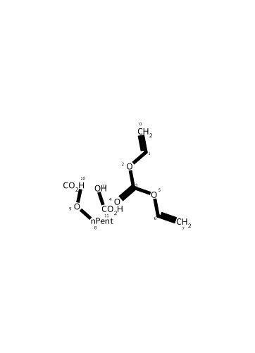 C=COC(=O)OC=C.CCCCCOC(=O)O.O=C(O)O